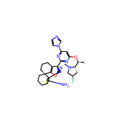 C[C@H](Oc1cc(-n2ccnc2)nc(-c2noc3c2CCC[C@@]32CCCc3sc(N)c(C#N)c32)n1)[C@@H]1C[C@@H](F)CN1C